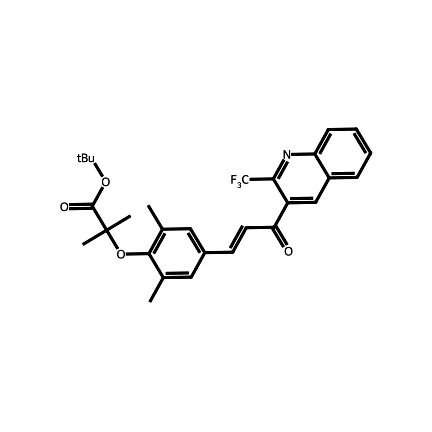 Cc1cc(/C=C/C(=O)c2cc3ccccc3nc2C(F)(F)F)cc(C)c1OC(C)(C)C(=O)OC(C)(C)C